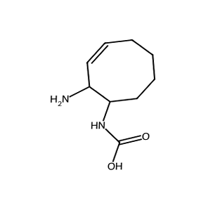 NC1C=CCCCCC1NC(=O)O